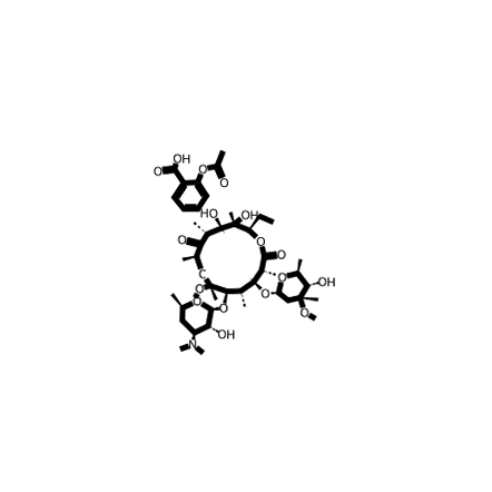 CC(=O)Oc1ccccc1C(=O)O.CC[C@H]1OC(=O)[C@H](C)[C@@H](O[C@H]2C[C@@](C)(OC)[C@@H](O)[C@H](C)O2)[C@H](C)[C@@H](O[C@@H]2O[C@H](C)C[C@H](N(C)C)[C@H]2O)[C@](C)(OC)C[C@@H](C)C(=O)[C@H](C)[C@@H](O)[C@]1(C)O